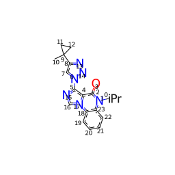 CC(C)n1c(=O)c2c(-n3cc(C4(C)CC4)nn3)ncn2c2ccccc21